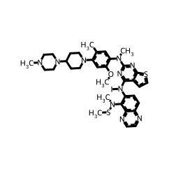 COc1cc(N2CCC(N3CCN(C)CC3)CC2)c(C)cc1N(C)c1nc(N(I)c2ccc3nccnc3c2N(C)SC)c2ccsc2n1